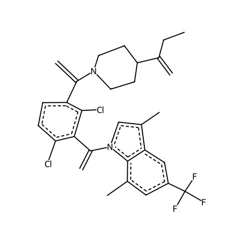 C=C(CC)C1CCN(C(=C)c2ccc(Cl)c(C(=C)n3cc(C)c4cc(C(F)(F)F)cc(C)c43)c2Cl)CC1